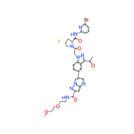 COCCOCCNC(=O)c1cc2ncc(-c3ccc4c(c3)c(C(C)=O)nn4CC(=O)N3C[C@H](F)C[C@H]3C(=O)Nc3cccc(Br)n3)cn2n1